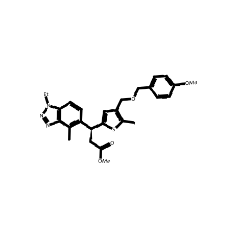 CCn1nnc2c(C)c([C@H](CC(=O)OC)c3cc(COCc4ccc(OC)cc4)c(C)s3)ccc21